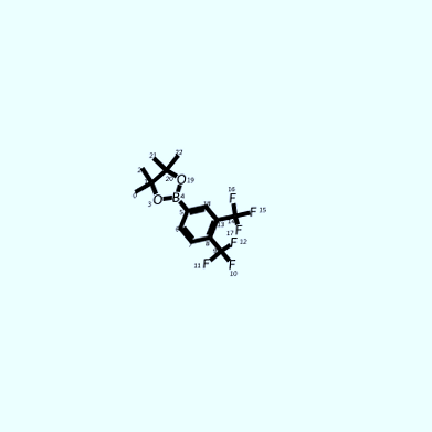 CC1(C)OB(c2ccc(C(F)(F)F)c(C(F)(F)F)c2)OC1(C)C